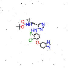 Cn1cnc2cc(Oc3ccc(Nc4ncncc4C#CC4(NC(=O)OC(C)(C)C)CC4)c(F)c3Cl)ccc21